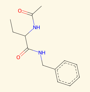 CCC(NC(C)=O)C(=O)NCc1ccccc1